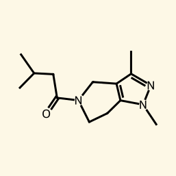 Cc1nn(C)c2c1CN(C(=O)CC(C)C)CC2